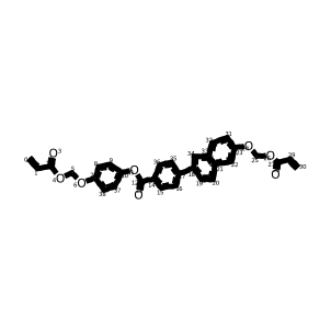 C=CC(=O)OCOc1ccc(OC(=O)c2ccc(-c3ccc4cc(OCOC(=O)C=C)ccc4c3)cc2)cc1